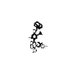 COC(=O)[C@@H]1CC(C)(O)CN1C(=O)c1cc(C2CC2)c(OCC23CC4CC(CC(C4)C2)C3)cc1F